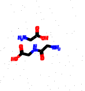 NCC(=O)NCC(=O)O.NCC(=O)O